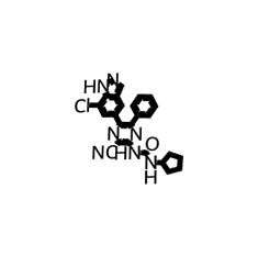 N#Cc1nc(-c2cc(Cl)c3[nH]ncc3c2)c(-c2ccccc2)nc1NC(=O)NC1CCCC1